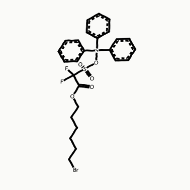 O=C(OCCCCCCBr)C(F)(F)S(=O)(=O)OS(c1ccccc1)(c1ccccc1)c1ccccc1